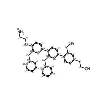 CC(C)Cc1cc(CCC#N)ccc1-c1ccc(-c2ccc(OCCN)c(Cc3ccccc3)c2)c(Cc2ccccc2)c1